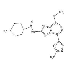 COc1ccc(-c2cnn(C)c2)c2nc(NC(=O)N3CCC(C)CC3)[nH]c12